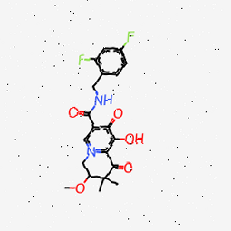 COC1Cn2cc(C(=O)NCc3ccc(F)cc3F)c(=O)c(O)c2C(=O)C1(C)C